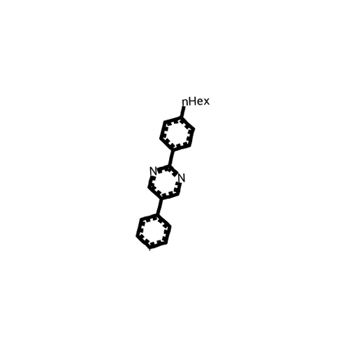 CCCCCCc1ccc(-c2ncc(-c3cc[c]cc3)cn2)cc1